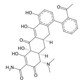 CC(=O)c1ccccc1-c1ccc(O)c2c1C[C@H]1C[C@H]3[C@H](N(C)C)C(=O)C(C(N)=O)=C(O)[C@@]3(O)C(=O)C1=C2O